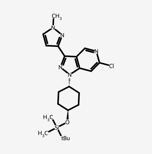 Cn1ccc(-c2nn([C@H]3CC[C@H](O[Si](C)(C)C(C)(C)C)CC3)c3cc(Cl)ncc23)n1